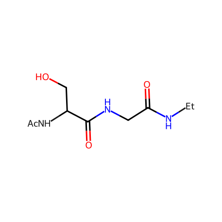 [CH2]CNC(=O)CNC(=O)C(CO)NC(C)=O